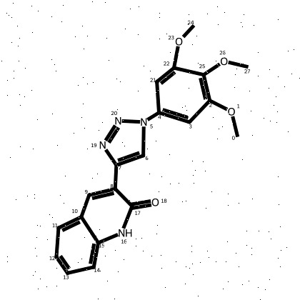 COc1cc(-n2cc(-c3cc4ccccc4[nH]c3=O)nn2)cc(OC)c1OC